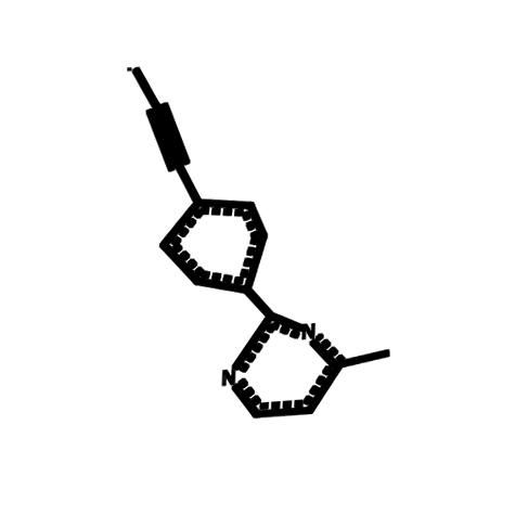 [CH2]C#Cc1ccc(-c2nccc(C)n2)cc1